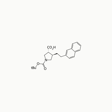 CC(C)(C)OC(=O)N1C[C@H](CCc2ccc3ccccc3c2)[C@@H](C(=O)O)C1